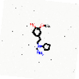 CC(C)(C)Oc1cc(CCN(CN)C2CCCC2)ccc1O